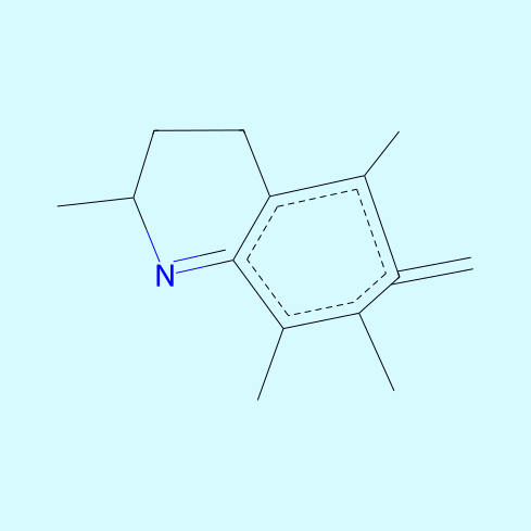 C=c1c(C)c(C)c2c(c1C)CCC(C)N=2